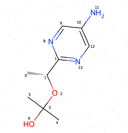 C[C@@H](OC(C)(C)O)c1ncc(N)cn1